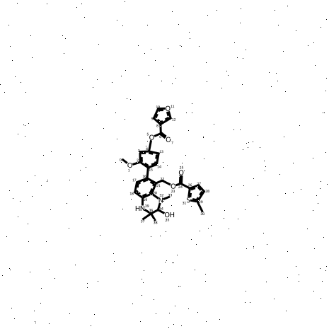 COc1cc(OC(=O)c2ccoc2)ccc1-c1ccc2c(c1COC(=O)c1ccc(C)s1)N(C)C(O)C(C)(C)N2